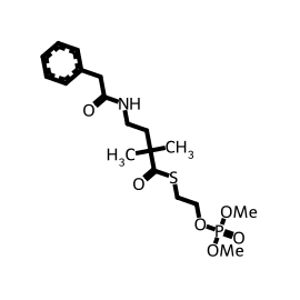 COP(=O)(OC)OCCSC(=O)C(C)(C)CCNC(=O)Cc1ccccc1